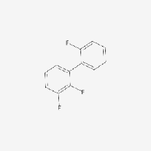 Fc1ccccc1-c1cccc(F)c1F